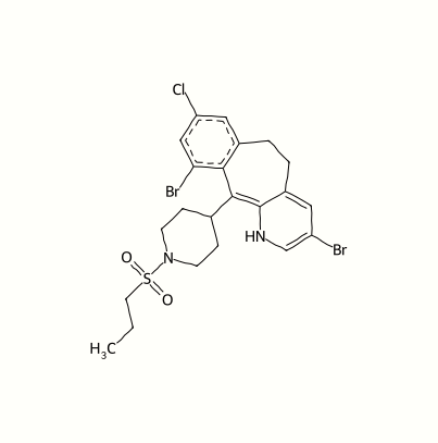 CCCS(=O)(=O)N1CCC(C2=C3NC=C(Br)C=C3CCc3cc(Cl)cc(Br)c32)CC1